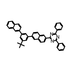 CC(C)(C)c1cc(-c2ccc3ccccc3c2)cc(-c2ccc3cc(-c4nc(-c5ccccc5)nc(-c5ccccc5)n4)ccc3c2)c1